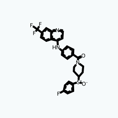 O=C(c1ccc(Nc2ccnc3cc(C(F)(F)F)ccc23)cc1)N1CCC([S+]([O-])c2ccc(F)cc2)CC1